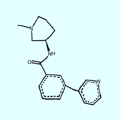 CN1CCC[C@@H](NC(=O)c2cccc(-c3cccnc3)c2)C1